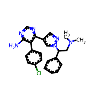 CN(C)CC(c1ccccc1)n1cc(-c2ncnc(N)c2-c2ccc(Cl)cc2)cn1